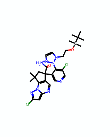 CC1(C)CC(C(N)=O)(c2cncc(Cl)c2N2NC=CN2CCO[Si](C)(C)C(C)(C)C)c2cnc3cc(Cl)nn3c21